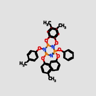 Cc1ccc(ON2P(Oc3ccc(C)cc3)N=P(Oc3ccccc3)(Oc3ccccc3)N(Oc3ccc(C)cc3)P2Oc2ccc(C)cc2)cc1